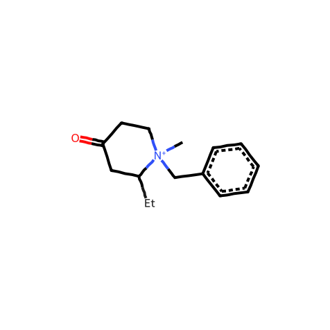 CCC1CC(=O)CC[N+]1(C)Cc1ccccc1